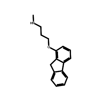 CNCCCOc1cccc2c1Cc1ccccc1-2